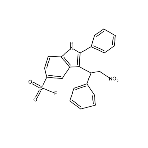 O=[N+]([O-])CC(c1ccccc1)c1c(-c2ccccc2)[nH]c2ccc(S(=O)(=O)F)cc12